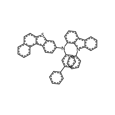 c1ccc(-c2cccc(N(c3ccc4c(c3)sc3ccc5ccccc5c34)c3cccc4c5ccccc5n(-c5ccccc5)c34)c2)cc1